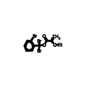 C=C(OCC)C(=O)OC(Br)(Br)c1ccccc1Br